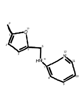 Cc1ccc(CNc2cc[c]cn2)o1